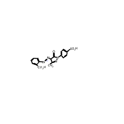 CC1=NN(c2ccc(S(=O)(=O)O)cc2)C(=O)C1/N=N/c1ccccc1C(=O)O